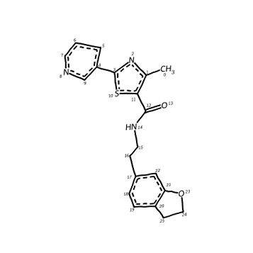 Cc1nc(-c2cccnc2)sc1C(=O)NCCc1ccc2c(c1)OCC2